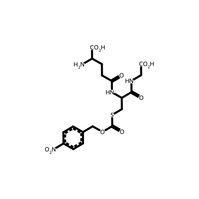 NC(CCC(=O)NC(CSC(=O)OCc1ccc([N+](=O)[O-])cc1)C(=O)NCC(=O)O)C(=O)O